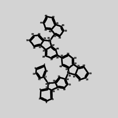 c1ccc(-n2c3ccccc3c3ccc(-n4c5ccccc5c5ccc(-c6ccc7c8ccccc8n(-c8cccc9ccccc89)c7c6)cc54)cc32)cc1